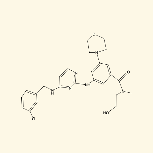 CN(CCO)C(=O)c1cc(Nc2nccc(NCc3cccc(Cl)c3)n2)cc(N2CCOCC2)c1